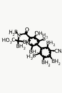 Bc1nc(C(=O)N(B)C(B)(B)C(=O)O)c(O)c(B)c1-c1c(B)c(B)c(B)c(C#N)c1B